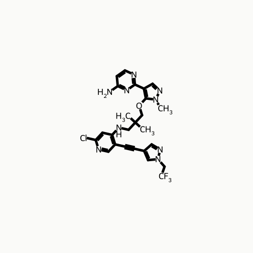 Cn1ncc(-c2nccc(N)n2)c1OCC(C)(C)CNc1cc(Cl)ncc1C#Cc1cnn(CC(F)(F)F)c1